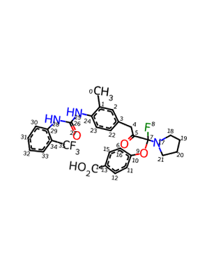 Cc1cc(CC(=O)C(F)(Oc2ccc(C(=O)O)cc2)N2CCCC2)ccc1NC(=O)Nc1ccccc1C(F)(F)F